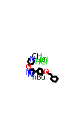 CCCCc1nnc(OC2CCN(C)CC2)cc1-c1ccc(OCCC2CCCCC2)cc1.Cl.Cl